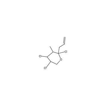 C=CCC1(Cl)OCC(Cl)C(Cl)C1C